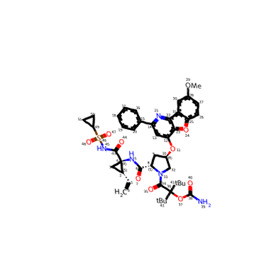 C=C[C@@H]1C[C@]1(NC(=O)[C@@H]1C[C@@H](Oc2cc(-c3ccccc3)nc3c2oc2ccc(OC)cc23)CN1C(=O)C(OC(N)=O)(C(C)(C)C)C(C)(C)C)C(=O)NS(=O)(=O)C1CC1